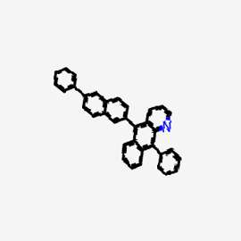 c1ccc(-c2ccc3cc(-c4c5ccccc5c(-c5ccccc5)c5ncccc45)ccc3c2)cc1